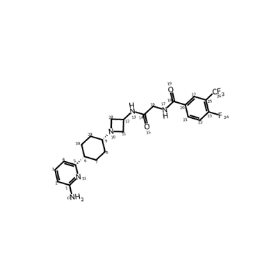 Nc1cccc([C@H]2CC[C@@H](N3CC(NC(=O)CNC(=O)c4ccc(F)c(C(F)(F)F)c4)C3)CC2)n1